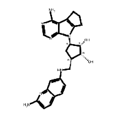 Nc1ccc2ccc(NC[C@H]3C[C@@H](n4c5c(c6c(N)ncnc64)CCC5)[C@H](O)[C@@H]3O)cc2n1